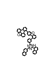 c1cc(-c2cccc3oc4cc(-c5cccc6c7cccc8oc9cccc(c56)c9c87)ccc4c23)cc(C2N=C(c3ccc4ccccc4c3)N=C(c3cccc4ccccc34)N2)c1